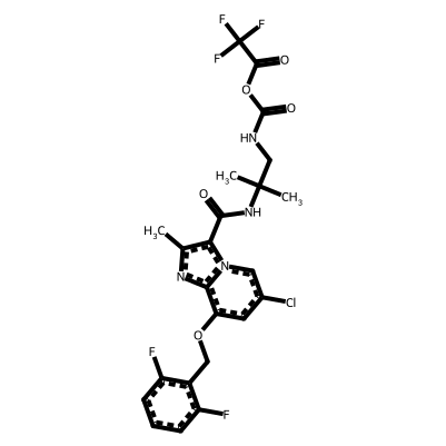 Cc1nc2c(OCc3c(F)cccc3F)cc(Cl)cn2c1C(=O)NC(C)(C)CNC(=O)OC(=O)C(F)(F)F